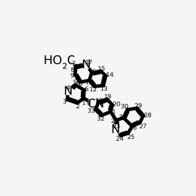 N#Cc1ccncc1.O=C(O)c1ccc2ccccc2n1.c1ccc(-c2nccc3ccccc23)cc1